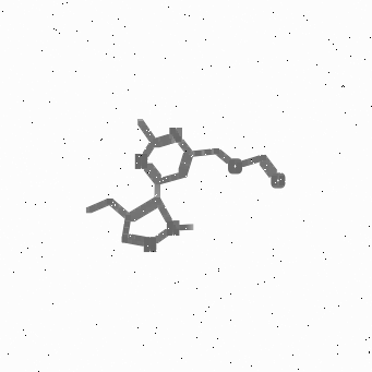 CCc1cnn(C)c1-c1cc(COC=O)nc(C)n1